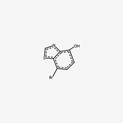 Oc1ccc(Br)c2scnc12